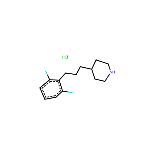 Cl.Fc1cccc(F)c1CCCC1CCNCC1